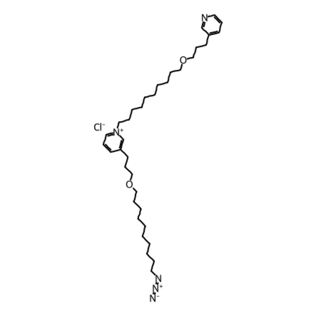 [Cl-].[N-]=[N+]=NCCCCCCCCCCOCCCc1ccc[n+](CCCCCCCCCCOCCCc2cccnc2)c1